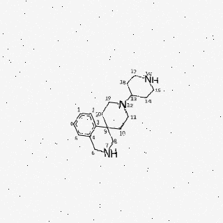 c1ccc2c(c1)CNCC21CCN(C2CCNCC2)CC1